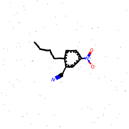 CCCCc1ccc([N+](=O)[O-])cc1C#N